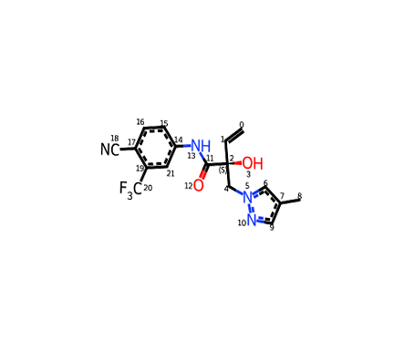 C=C[C@](O)(Cn1cc(C)cn1)C(=O)Nc1ccc(C#N)c(C(F)(F)F)c1